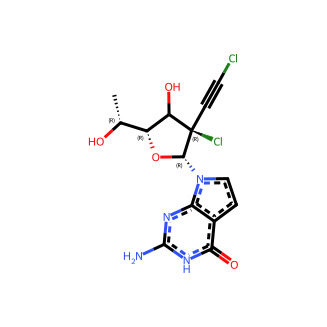 C[C@@H](O)[C@H]1O[C@@H](n2ccc3c(=O)[nH]c(N)nc32)[C@@](Cl)(C#CCl)C1O